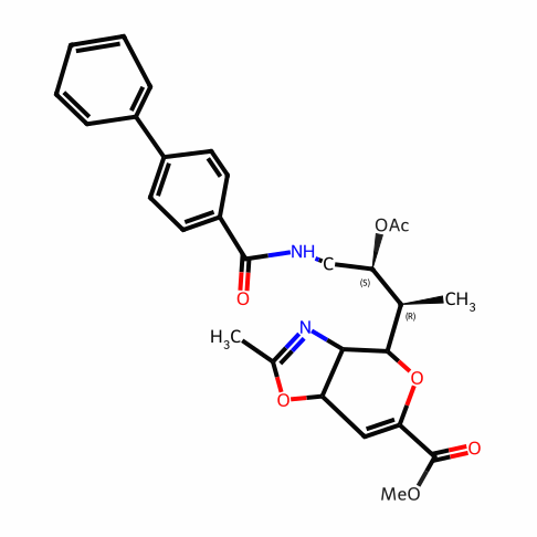 COC(=O)C1=CC2OC(C)=NC2C([C@H](C)[C@@H](CNC(=O)c2ccc(-c3ccccc3)cc2)OC(C)=O)O1